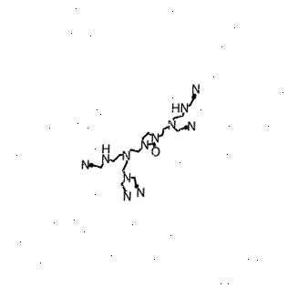 N#CCNCCN(CC#N)CCN1CCN(CCN(CCNCC#N)CCN(CC#N)CC#N)C1=O